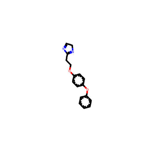 C1=NC(CCOc2ccc(Oc3ccccc3)cc2)=NC1